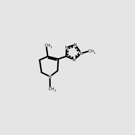 CC1=C(c2nnn(C)n2)CN(C)CC1